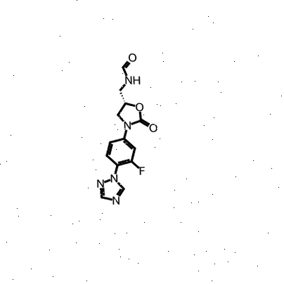 O=CNC[C@H]1CN(c2ccc(-n3cncn3)c(F)c2)C(=O)O1